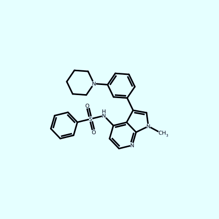 Cn1cc(-c2cccc(N3CCCCC3)c2)c2c(NS(=O)(=O)c3ccccc3)ccnc21